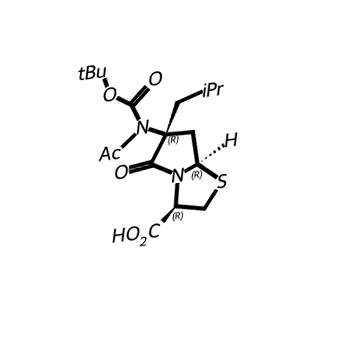 CC(=O)N(C(=O)OC(C)(C)C)[C@]1(CC(C)C)C[C@H]2SC[C@@H](C(=O)O)N2C1=O